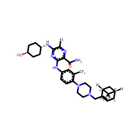 CCc1nc(C(N)=O)c(Nc2ccc(N3CCN(CC4=CC[C@H]5C[C@@H]4C5(C)C)CC3)c(C(F)(F)F)c2)nc1N[C@H]1CC[C@H](O)CC1